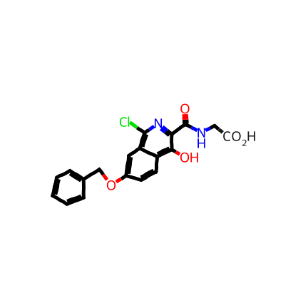 O=C(O)CNC(=O)c1nc(Cl)c2cc(OCc3ccccc3)ccc2c1O